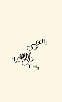 COc1ccc2c(c1)CCC2CNC(=O)C1(O)CC(C)CCC1C(C)C